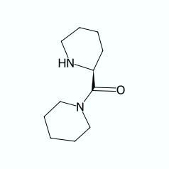 O=C([C@@H]1CCCCN1)N1CCCCC1